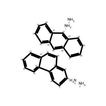 N.N.N.N.c1ccc2c(c1)ccc1ccccc12.c1ccc2cc3ccccc3cc2c1